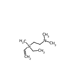 C=C[Si](C)(CC)CCN(C)C